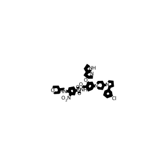 O=C(NS(=O)(=O)c1ccc(NCC2CCOCC2)c([N+](=O)[O-])c1)c1ccc(N2CCC(N3CCCC3c3cccc(Cl)c3)CC2)cc1Oc1cnc2[nH]ccc2c1